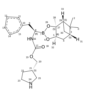 CC1(C)[C@@H]2C[C@H]3OB([C@H](Cc4ccccc4)NC(=O)OC[C@H]4CCNC4)O[C@@]3(C)[C@H]1C2